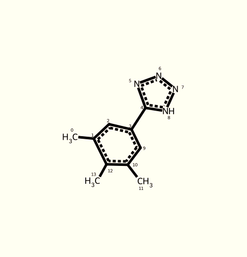 Cc1cc(-c2nnn[nH]2)cc(C)c1C